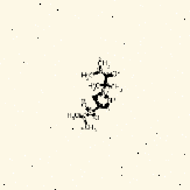 CN(C)C(=O)C(C)(C)n1cc(S(=O)(=O)N(C)C)cn1